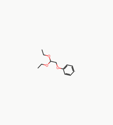 CCOC(COc1cc[c]cc1)OCC